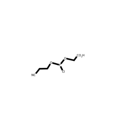 N#CCCOP(Cl)OCC(=O)O